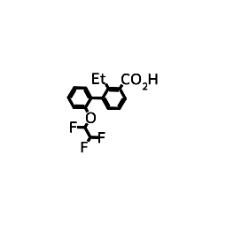 CCc1c(C(=O)O)cccc1-c1ccccc1OC(F)C(F)F